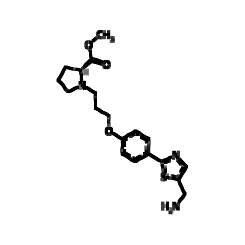 COC(=O)[C@@H]1CCCN1CCCOc1ccc(-c2ncc(CN)s2)cc1